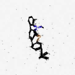 Cn1c2ccccc2c2ccc3c4ccc(C(C)(C)C)cc4sc3c21